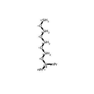 CCC[SiH](CCC)O[SiH2]O[SiH2]O[SiH2]O[SiH3]